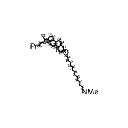 CNCCCCCCCCCCCCCCCOC1CCC2(C)C(=CCC3C2CCC2(C)C(C(C)CCCC(C)C)CCC32)C1